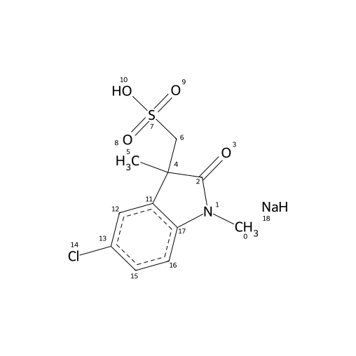 CN1C(=O)C(C)(CS(=O)(=O)O)c2cc(Cl)ccc21.[NaH]